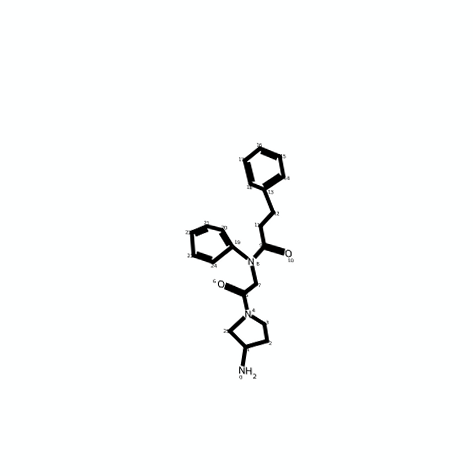 NC1CCN(C(=O)CN(C(=O)CCc2ccccc2)c2ccccc2)C1